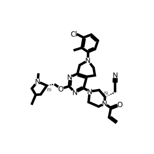 C=CC(=O)N1CCN(c2nc(OC[C@@H]3CC(C)CN3C)nc3c2CCN(c2cccc(Cl)c2C)C3)C[C@@H]1CC#N